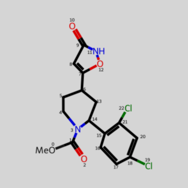 COC(=O)N1CCC(c2cc(=O)[nH]o2)CC1c1ccc(Cl)cc1Cl